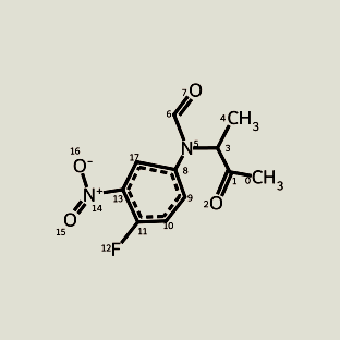 CC(=O)C(C)N(C=O)c1ccc(F)c([N+](=O)[O-])c1